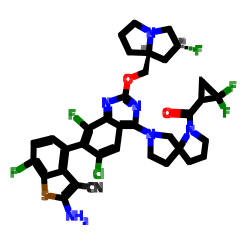 N#Cc1c(N)sc2c(F)ccc(-c3c(Cl)cc4c(N5CCC6(CCCN6C(=O)C6CC6(F)F)C5)nc(OC[C@@]56CCCN5C[C@H](F)C6)nc4c3F)c12